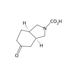 O=C1CC[C@H]2CN(C(=O)O)C[C@H]2C1